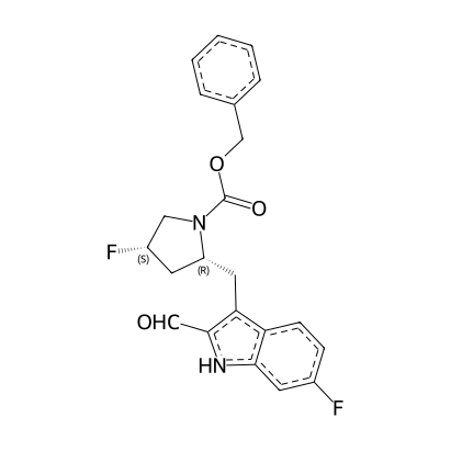 O=Cc1[nH]c2cc(F)ccc2c1C[C@@H]1C[C@H](F)CN1C(=O)OCc1ccccc1